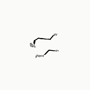 CCC(C)CCC(C)C.CCCC(C)CC(C)C